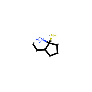 CCC1CCCC1(N)S